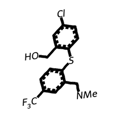 CNCc1cc(C(F)(F)F)ccc1Sc1ccc(Cl)cc1CO